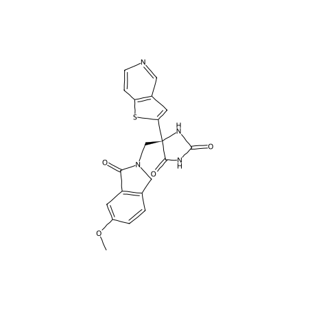 COc1ccc2c(c1)C(=O)N(C[C@@]1(c3cc4cnccc4s3)NC(=O)NC1=O)C2